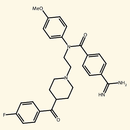 COc1ccc(N(CCN2CCC(C(=O)c3ccc(F)cc3)CC2)C(=O)c2ccc(C(=N)N)cc2)cc1